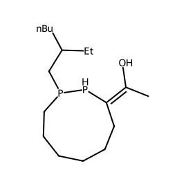 CCCCC(CC)CP1CCCCCCC(=C(C)O)P1